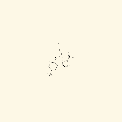 COCCN(C(=O)C1CCC(C(F)(F)F)CC1)c1ccsc1C(=O)OC